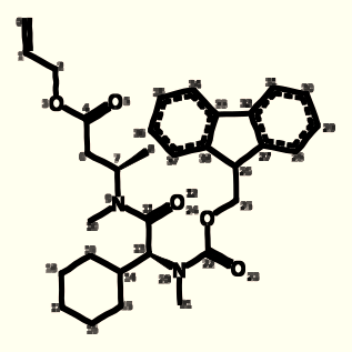 C=CCOC(=O)C[C@@H](C)N(C)C(=O)[C@H](C1CCCCC1)N(C)C(=O)OCC1c2ccccc2-c2ccccc21